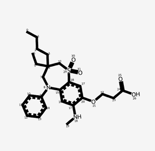 CCCCC1(CC)CN(c2ccccc2)c2cc(NC)c(OCCC(=O)O)cc2S(=O)(=O)C1